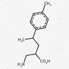 Cc1ccc(C(C)CC(CN)C(=O)O)cc1